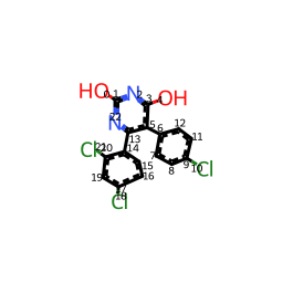 Oc1nc(O)c(-c2ccc(Cl)cc2)c(-c2ccc(Cl)cc2Cl)n1